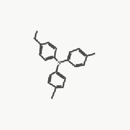 CCc1ccc(N(c2ccc(C)cc2)c2ccc(C)cc2)cc1